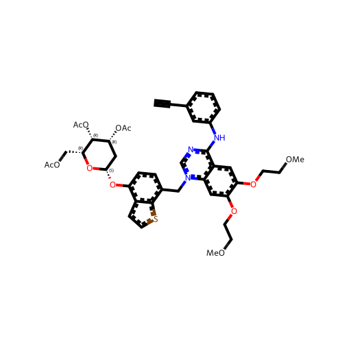 C#Cc1cccc(Nc2nc[n+](Cc3ccc(O[C@H]4C[C@@H](OC(C)=O)[C@@H](OC(C)=O)[C@@H](COC(C)=O)O4)c4ccsc34)c3cc(OCCOC)c(OCCOC)cc23)c1